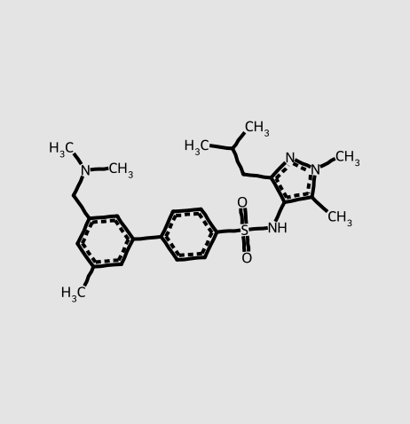 Cc1cc(CN(C)C)cc(-c2ccc(S(=O)(=O)Nc3c(CC(C)C)nn(C)c3C)cc2)c1